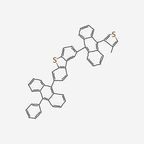 Cc1cscc1-c1c2ccccc2c(-c2ccc3sc4cc(-c5c6ccccc6c(-c6ccccc6)c6ccccc56)ccc4c3c2)c2ccccc12